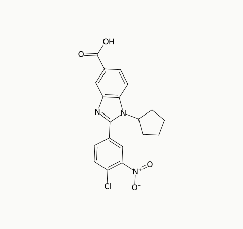 O=C(O)c1ccc2c(c1)nc(-c1ccc(Cl)c([N+](=O)[O-])c1)n2C1CCCC1